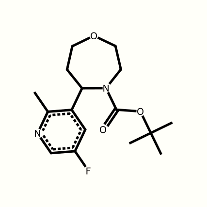 Cc1ncc(F)cc1C1CCOCCN1C(=O)OC(C)(C)C